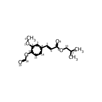 COc1cc(C=CC(=O)OCC(C)C)ccc1OC=O